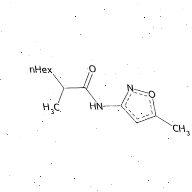 CCCCCCC(C)C(=O)Nc1cc(C)on1